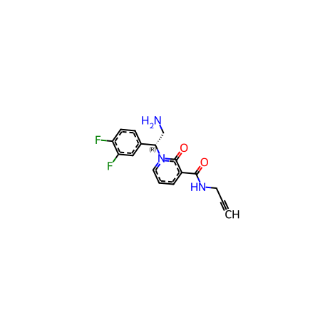 C#CCNC(=O)c1cccn([C@@H](CN)c2ccc(F)c(F)c2)c1=O